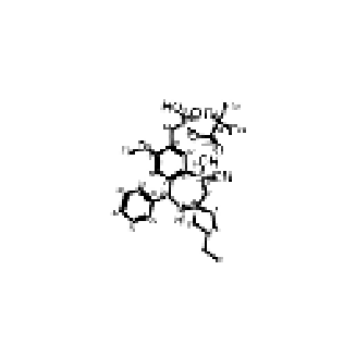 CCCC[C@]1(CC)CS(O)(O)c2cc(CP(=O)(O)OC(=O)C(F)(F)F)c(OC)cc2[C@H](c2ccccc2)N1